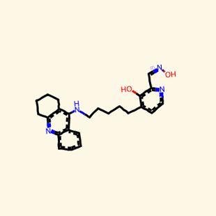 O/N=C\c1nccc(CCCCCNc2c3c(nc4ccccc24)CCCC3)c1O